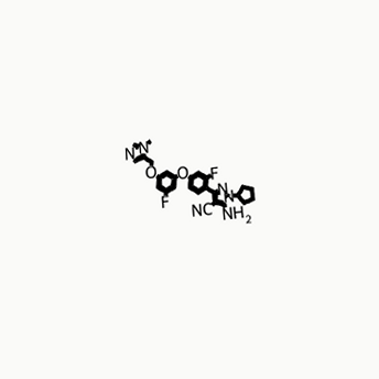 Cn1cncc1COc1cc(F)cc(Oc2ccc(-c3nn(C4CCCC4)c(N)c3C#N)c(F)c2)c1